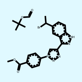 CC(C)(C)OC=O.COC(=O)c1ccc(-n2cc(-c3n[nH]c4ccc(C(C)Br)cc34)nn2)cc1